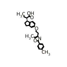 CCC(C(=O)O)[C@@H]1CCc2cc(OCCc3nc(-c4ccc(C)cc4)oc3C)ccc21